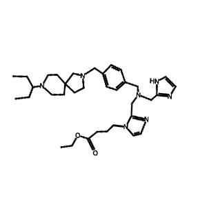 CCOC(=O)CCCn1ccnc1CN(Cc1ccc(CN2CCC3(CCN(C(CC)CC)CC3)C2)cc1)Cc1ncc[nH]1